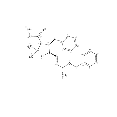 CC(C=C[C@H]1OC(C)(C)N(C(=O)OC(C)(C)C)[C@H]1Cc1ccccc1)OCc1ccccc1